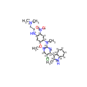 COc1cc(NCCN(C)C)c([N+](=O)[O-])cc1N(C)c1ncc(Cl)c(-c2c(C)[nH]c3ccccc23)n1